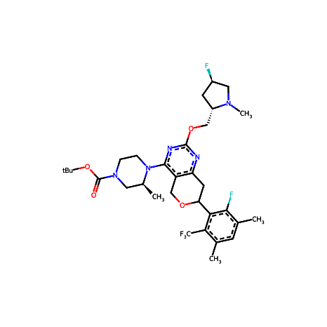 Cc1cc(C)c(C(F)(F)F)c(C2Cc3nc(OC[C@@H]4C[C@@H](F)CN4C)nc(N4CCN(C(=O)OC(C)(C)C)C[C@@H]4C)c3CO2)c1F